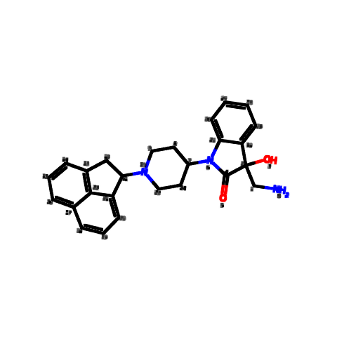 NCC1(O)C(=O)N(C2CCN(C3Cc4cccc5cccc3c45)CC2)c2ccccc21